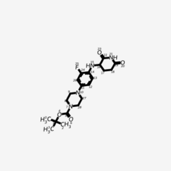 CC(C)(C)OC(=O)N1CCN(c2ccc(NC3CCC(=O)NC3=O)c(F)c2)CC1